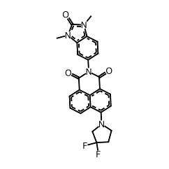 Cn1c(=O)n(C)c2cc(N3C(=O)c4cccc5c(N6CCC(F)(F)C6)ccc(c45)C3=O)ccc21